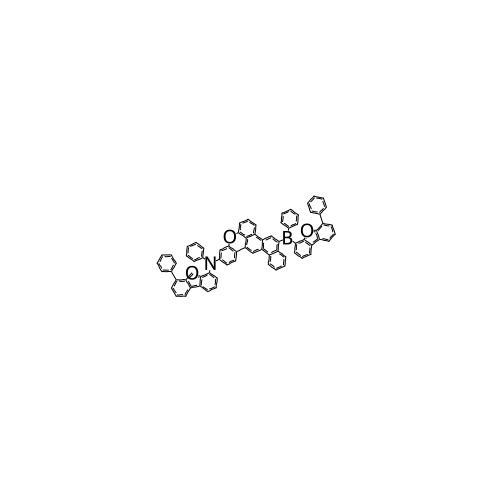 c1ccc(B(c2cc3c4cccc5c4c(cc3c3ccccc23)-c2ccc(N(c3ccccc3)c3cccc4c3oc3c(-c6ccccc6)cccc34)cc2O5)c2cccc3c2oc2c(-c4ccccc4)cccc23)cc1